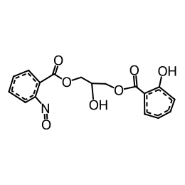 O=Nc1ccccc1C(=O)OCC(O)COC(=O)c1ccccc1O